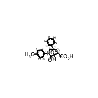 Cc1ccc(N2C[C@]3(c4ccccc4)O[C@@H](C(=O)O)[C@@H](O3)C2=O)cc1